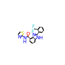 O=C(Nc1nccs1)c1cccc2[nH]c(-c3ccccc3C(F)F)nc12